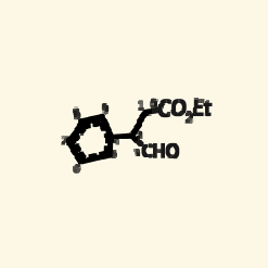 CCOC(=O)CC(C=O)c1ccccc1